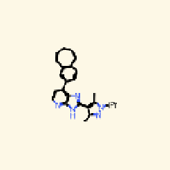 Cc1nn(C(C)C)c(C)c1-c1nc2c(-c3ccc4c(c3)CCCCC4)ccnc2[nH]1